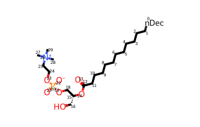 CCCCCCCCCCCCCCCCCCCCCC(=O)O[C@H](CO)COP(=O)([O-])OCC[N+](C)(C)C